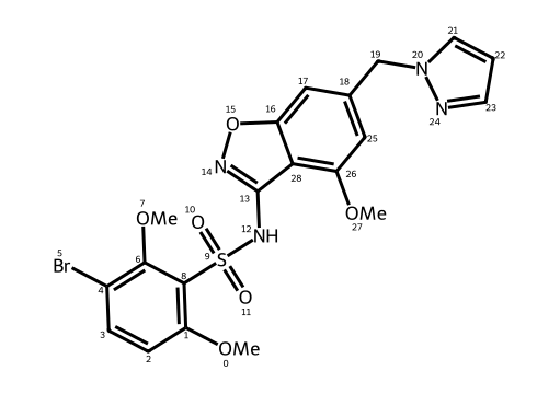 COc1ccc(Br)c(OC)c1S(=O)(=O)Nc1noc2cc(Cn3cccn3)cc(OC)c12